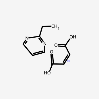 CCc1ncccn1.O=C(O)/C=C\C(=O)O